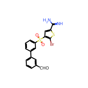 N=C(N)c1cc(S(=O)(=O)c2cccc(-c3cccc(C=O)c3)c2)c(Br)s1